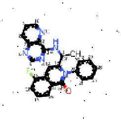 C[C@H](Nc1ncnc2cccnc12)c1cc2c(F)cccc2c(=O)n1-c1ccccc1